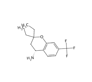 CCC1(CC)C[C@@H](N)c2ccc(C(F)(F)F)cc2O1